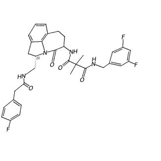 CC(C)(C(=O)NCc1cc(F)cc(F)c1)C(=O)NC1CCc2cccc3c2N(C1=O)[C@H](CNC(=O)Cc1ccc(F)cc1)C3